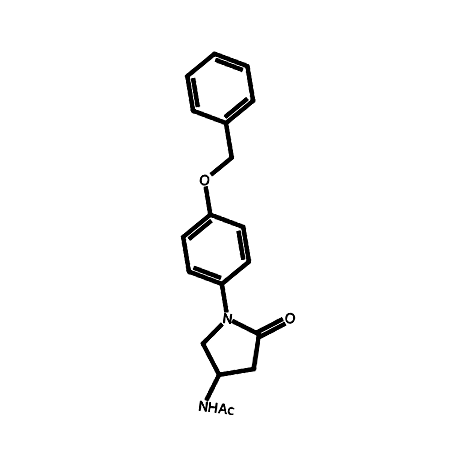 CC(=O)NC1CC(=O)N(c2ccc(OCc3ccccc3)cc2)C1